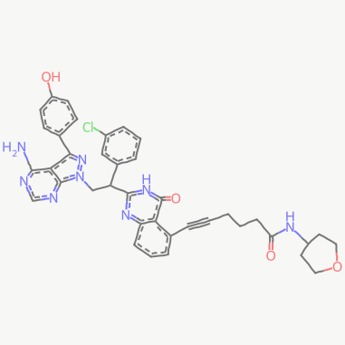 Nc1ncnc2c1c(-c1ccc(O)cc1)nn2CC(c1cccc(Cl)c1)c1nc2cccc(C#CCCCC(=O)NC3CCOCC3)c2c(=O)[nH]1